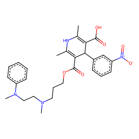 CC1=C(C(=O)O)C(c2cccc([N+](=O)[O-])c2)C(C(=O)OCCCN(C)CCN(C)c2ccccc2)=C(C)N1